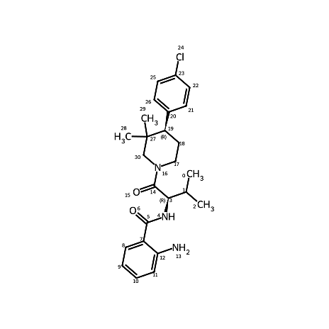 CC(C)[C@@H](NC(=O)c1ccccc1N)C(=O)N1CC[C@H](c2ccc(Cl)cc2)C(C)(C)C1